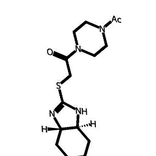 CC(=O)N1CCN(C(=O)CSC2=N[C@H]3CCCC[C@@H]3N2)CC1